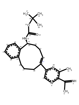 CC(=N)c1ncc(/C2=C/CC[C@H](NC(=O)OC(C)(C)C)c3ccccc3CCC2)nc1C